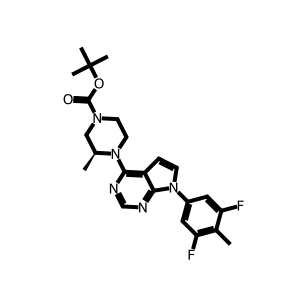 Cc1c(F)cc(-n2ccc3c(N4CCN(C(=O)OC(C)(C)C)C[C@@H]4C)ncnc32)cc1F